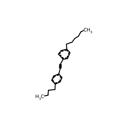 CCCCCCc1ccc(C#Cc2ccc(CCCC)cc2)cc1